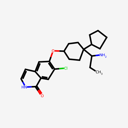 CCC(N)C1(C2CCCC2)CCC(Oc2cc3cc[nH]c(=O)c3cc2Cl)CC1